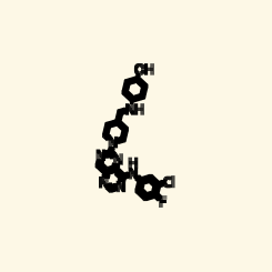 O[C@H]1CC[C@H](NCC2CCN(c3ncc4ncnc(Nc5ccc(F)c(Cl)c5)c4n3)CC2)CC1